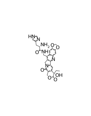 CC[C@@]1(O)C(=O)OCc2c1cc1n(c2=O)Cc2c-1nc1cc3c(cc1c2CNC(=O)[C@@H](N)Cc1c[nH]cn1)OCO3